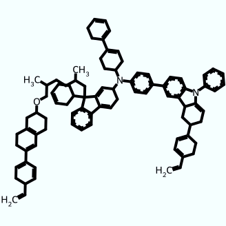 C=CC1=CC=C(C2CC=C3C(C2)c2cc(-c4ccc(N(C5C=C6C(=CC5)c5ccccc5C6(CC(C)CCC(C)COC5CCC6=C(CCC(C7=CCC(C=C)C=C7)=C6)C5)C5CC=CCC5)C5CC=C(C6=CC=CCC6)CC5)cc4)ccc2N3c2ccccc2)CC1